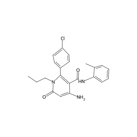 CCCn1c(-c2ccc(Cl)cc2)c(C(=O)Nc2ccccc2C)c(N)cc1=O